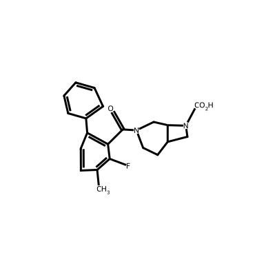 Cc1ccc(-c2ccccc2)c(C(=O)N2CCC3CN(C(=O)O)C3C2)c1F